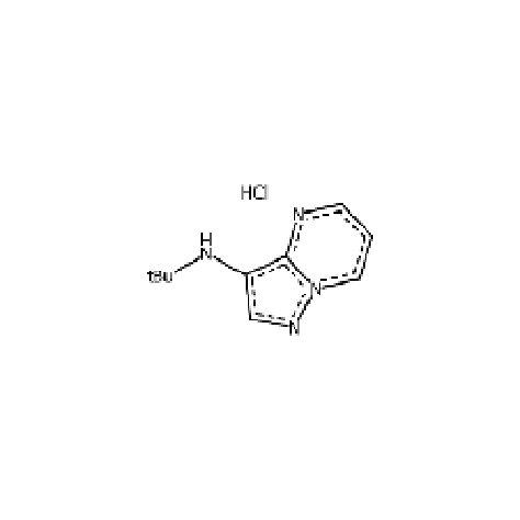 CC(C)(C)Nc1cnn2cccnc12.Cl